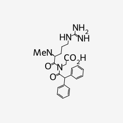 CN[C@@H](CCCNC(=N)N)C(=O)N(CC(=O)O)C(=O)C(c1ccccc1)c1ccccc1